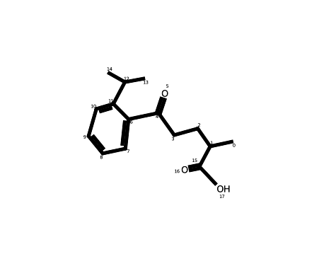 CC(CCC(=O)c1ccccc1C(C)C)C(=O)O